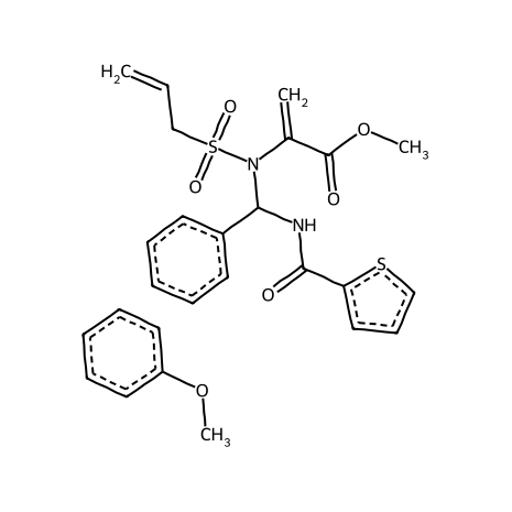 C=CCS(=O)(=O)N(C(=C)C(=O)OC)C(NC(=O)c1cccs1)c1ccccc1.COc1ccccc1